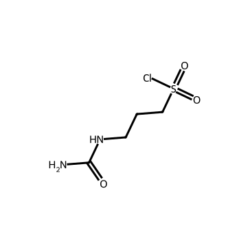 NC(=O)NCCCS(=O)(=O)Cl